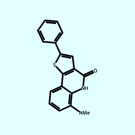 CNc1cccc2c1[nH]c(=O)c1cc(-c3ccccc3)sc12